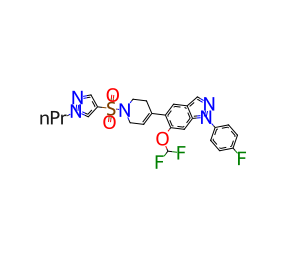 CCCn1cc(S(=O)(=O)N2CC=C(c3cc4cnn(-c5ccc(F)cc5)c4cc3OC(F)F)CC2)cn1